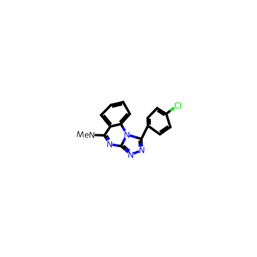 CNc1nc2nnc(-c3ccc(Cl)cc3)n2c2ccccc12